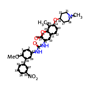 COc1ccc(NC(=O)Nc2cc3ccc(OC4CCN(C)CC4)c(C)c3oc2=O)cc1-c1cccc([N+](=O)[O-])c1